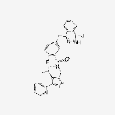 CC1CN(C(=O)c2cc(Cc3n[nH]c(=O)c4ccccc34)ccc2F)Cc2nnc(-c3ccccn3)n21